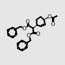 CC(=O)O[C@H]1C=C[C@@H](C(C(=O)OCc2ccccc2)C(=O)OCc2ccccc2)CC1